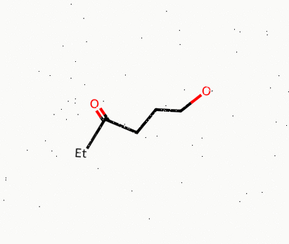 CCC(=O)CCC[O]